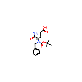 CC(C)(C)OC(=O)N(Cc1ccccc1)[C@H](CCC(=O)O)C(N)=O